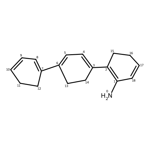 NC1=C(C2=CC=C(C3=CC=CCC3)CC2)CCC=C1